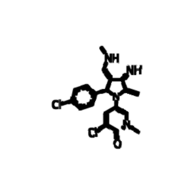 C=C1C(=N)/C(=C\NC)C(c2ccc(Cl)cc2)N1C(/C=C(/Cl)C=O)=C/N(C)C